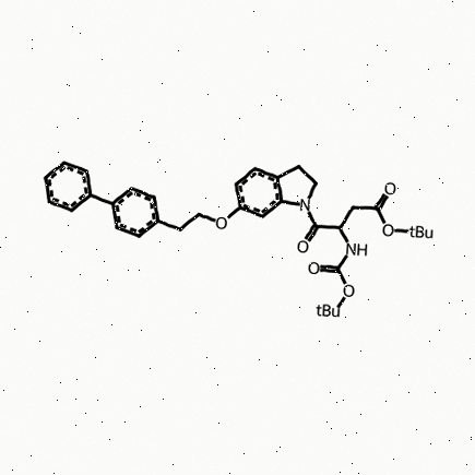 CC(C)(C)OC(=O)CC(NC(=O)OC(C)(C)C)C(=O)N1CCc2ccc(OCCc3ccc(-c4ccccc4)cc3)cc21